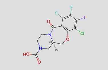 O=C(O)N1CCN2C(=O)c3c(F)c(F)c(I)c(Cl)c3OC[C@H]2C1